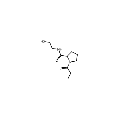 CCC(=O)N1CCCC1C(=O)NCC[O]